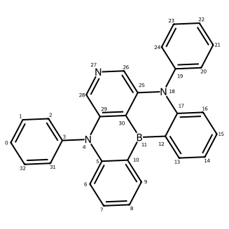 c1ccc(N2c3ccccc3B3c4ccccc4N(c4ccccc4)c4cncc2c43)cc1